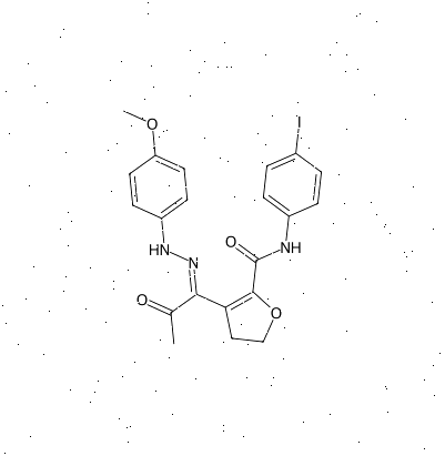 COc1ccc(NN=C(C(C)=O)C2=C(C(=O)Nc3ccc(I)cc3)OCC2)cc1